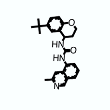 Cc1cc2c(NC(=O)NC3CCOc4ccc(C(C)(C)C)cc43)cccc2cn1